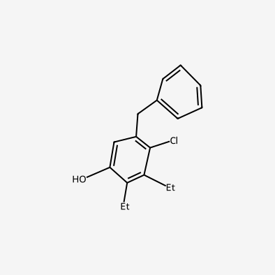 CCc1c(O)cc(Cc2ccccc2)c(Cl)c1CC